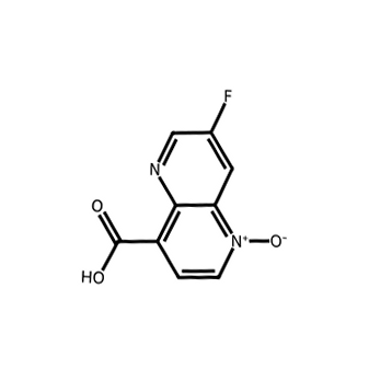 O=C(O)c1cc[n+]([O-])c2cc(F)cnc12